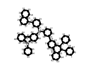 c1ccc(-c2c(-c3ccccc3)c3cc(-c4cccc(N(c5cccc(-c6cccc7ccccc67)c5)c5ccc6c(c5)c5ccccc5n6-c5ccccc5)c4)ccc3c3ccccc23)cc1